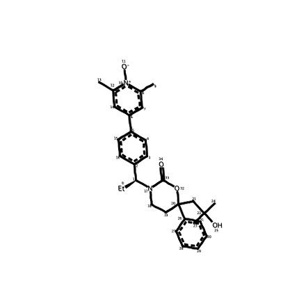 CC[C@@H](c1ccc(-c2cc(C)[n+]([O-])c(C)c2)cc1)N1CCC(CC(C)(C)O)(c2ccccc2)OC1=O